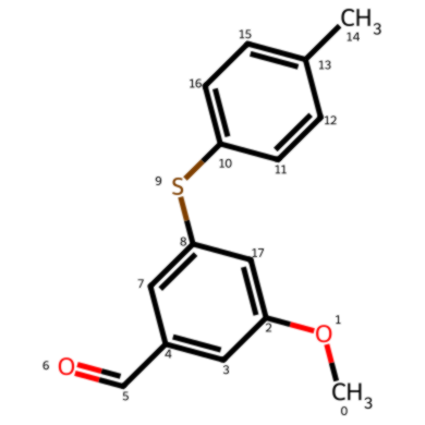 COc1cc(C=O)cc(Sc2ccc(C)cc2)c1